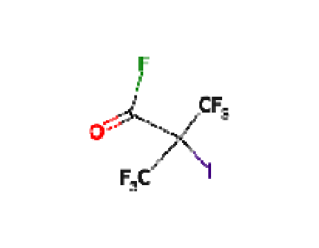 O=C(F)C(I)(C(F)(F)F)C(F)(F)F